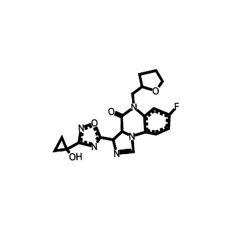 O=C1C2C(c3nc(C4(O)CC4)no3)N=CN2c2ccc(F)cc2N1CC1CCCO1